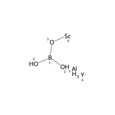 OB(O)[O][Sc].[AlH3].[Y]